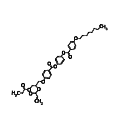 C=CC(=O)OCC(COc1ccc(C(=O)Oc2ccc(OC(=O)c3ccc(OCCCCCCCC)cc3)cc2)cc1)OC(=O)C=C